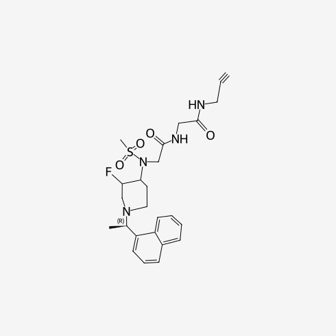 C#CCNC(=O)CNC(=O)CN(C1CCN([C@H](C)c2cccc3ccccc23)CC1F)S(C)(=O)=O